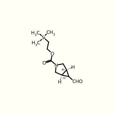 C[Si](C)(C)CCOC(=O)N1C[C@@H]2C(C=O)[C@@H]2C1